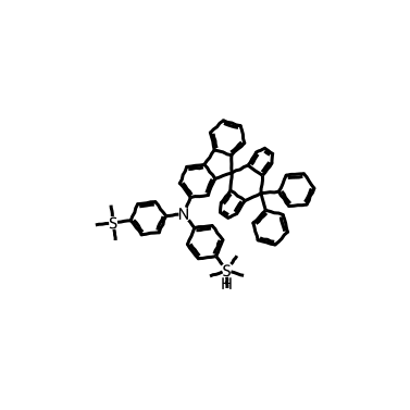 CS(C)(C)c1ccc(N(c2ccc([SH](C)(C)(C)C)cc2)c2ccc3c(c2)C2(c4ccccc4-3)c3ccccc3C(c3ccccc3)(c3ccccc3)c3ccccc32)cc1